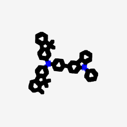 CC1CC=CC2=C1C(C)(C)c1cc(N(c3ccc(-c4ccc5c(c4)c4ccccc4n5-c4ccccc4)cc3)c3ccc4c(c3)C(C)(C)c3ccccc3-4)ccc12